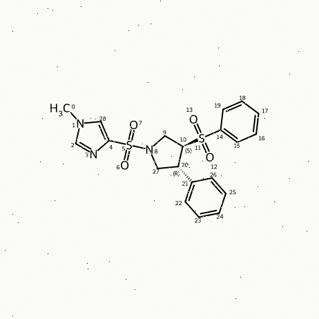 Cn1cnc(S(=O)(=O)N2C[C@@H](S(=O)(=O)c3ccccc3)[C@H](c3ccccc3)C2)c1